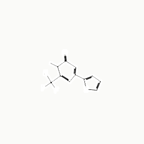 CC1C(=O)C=C(c2cccs2)C=C1C(F)(F)F